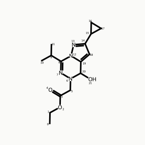 CCOC(=O)CN1N=C(C(C)C)n2nc(C3CC3)cc2C1O